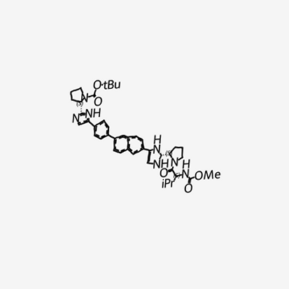 COC(=O)N[C@H](C(=O)N1CCC[C@H]1C1NC=C(c2ccc3cc(-c4ccc(-c5cnc([C@@H]6CCCN6C(=O)OC(C)(C)C)[nH]5)cc4)ccc3c2)N1)C(C)C